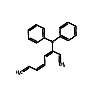 C=C/C=C\C=C(/C=C)N(c1ccccc1)c1ccccc1